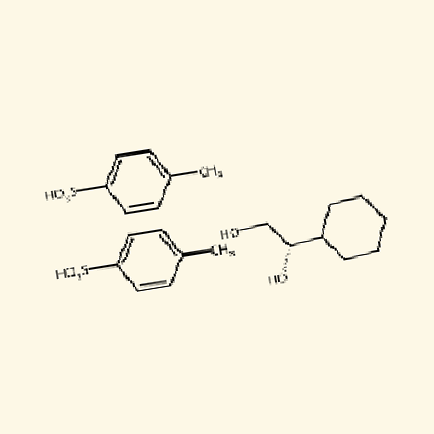 Cc1ccc(S(=O)(=O)O)cc1.Cc1ccc(S(=O)(=O)O)cc1.OC[C@@H](O)C1CCCCC1